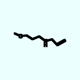 C=CCNCCCOC